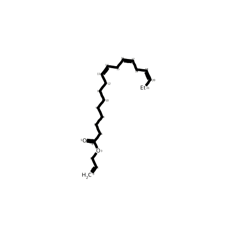 C=CCOC(=O)CCCCCCC/C=C\C/C=C\C/C=C\CC